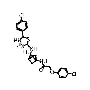 O=C(COc1ccc(Cl)cc1)NC12CC(C1)[C@@H](NC1NNC(c3ccc(Cl)cc3)S1)C2